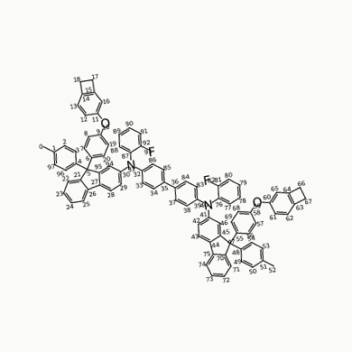 Cc1ccc(C2(c3ccc(Oc4ccc5c(c4)CC5)cc3)c3ccccc3-c3ccc(N(c4ccc(-c5ccc(N(c6ccc7c(c6)C(c6ccc(C)cc6)(c6ccc(Oc8ccc9c(c8)CC9)cc6)c6ccccc6-7)c6ccccc6F)cc5)cc4)c4ccccc4F)cc32)cc1